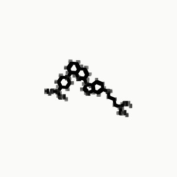 CN(C)CCCOc1ccc2c(c1)ncn2-c1ccc2cccc(N3CCC(N(C)C)CC3)c2n1